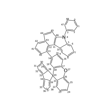 c1ccc(-n2c3ccccc3c3c4c(-c5ccc6c(c5)C5(c7ccccc7O6)c6ccccc6-c6ccccc65)cccc4ccc32)cc1